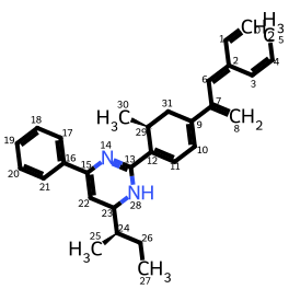 C=CC(/C=C\C)=C/C(=C)C1=CC=C(C2=NC(c3ccccc3)=CC([C@H](C)CC)N2)[C@@H](C)C1